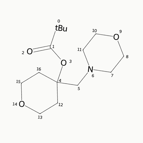 CC(C)(C)C(=O)OC1(CN2CCOCC2)CCOCC1